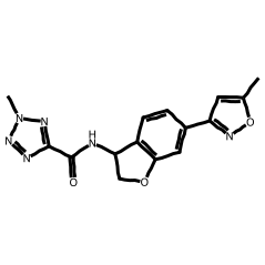 Cc1cc(-c2ccc3c(c2)OCC3NC(=O)c2nnn(C)n2)no1